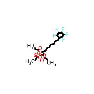 CCC(=O)O[Si](CCCCCCCCc1c(F)c(F)c(F)c(F)c1F)(OC(=O)CC)OC(=O)CC